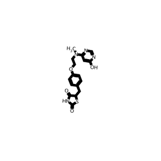 CN(CCOc1ccc(CC2SC(=O)NC2=O)cc1)c1cc(O)ncn1